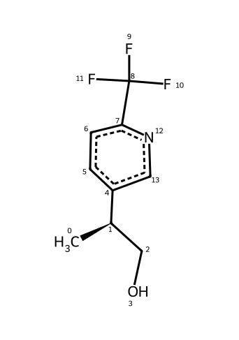 C[C@H](CO)c1ccc(C(F)(F)F)nc1